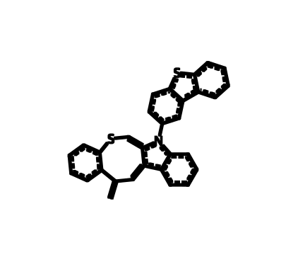 C=C1/C=c2\c(n(-c3ccc4sc5ccccc5c4c3)c3ccccc23)=C/Sc2ccccc21